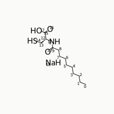 CCCCCCCCCC(=O)N[C@@H](CS)C(=O)O.[NaH]